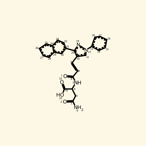 NC(=O)CC(NC(=O)/C=C/c1cn(-c2ccccc2)nc1-c1ccc2ccccc2c1)C(=O)O